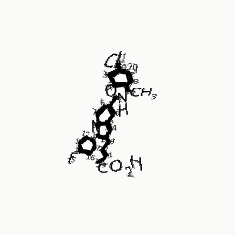 C[C@@H](NC(=O)c1ccc2nc([C@H]3C=CC(F)=CC3)c(CCCCC(=O)O)cc2c1)c1ccc(Cl)cc1